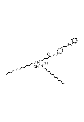 CCCCCCCCCCCCC(O)CN(CCCCC(=O)OCCN1CCN(CCSSc2ccccn2)CC1)CC(O)CCCCCCCCCCCC